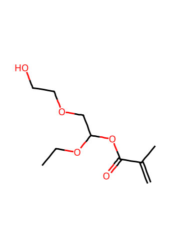 C=C(C)C(=O)OC(COCCO)OCC